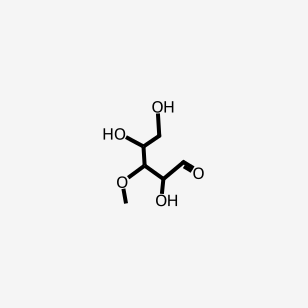 COC(C(O)C=O)C(O)CO